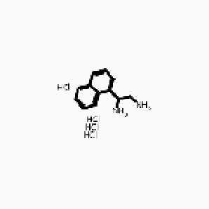 Cl.Cl.Cl.Cl.NCC(N)c1cccc2ccccc12